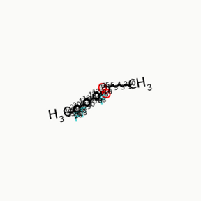 CCCCCCCC1COC(c2ccc(-c3ccc(-c4ccc(CC)c(F)c4F)cc3)cc2F)OC1